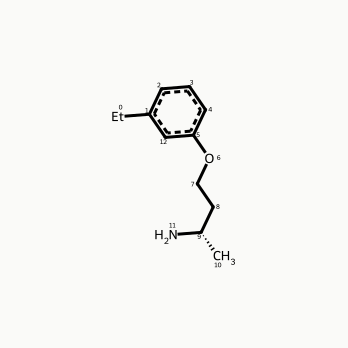 CCc1cccc(OCC[C@H](C)N)c1